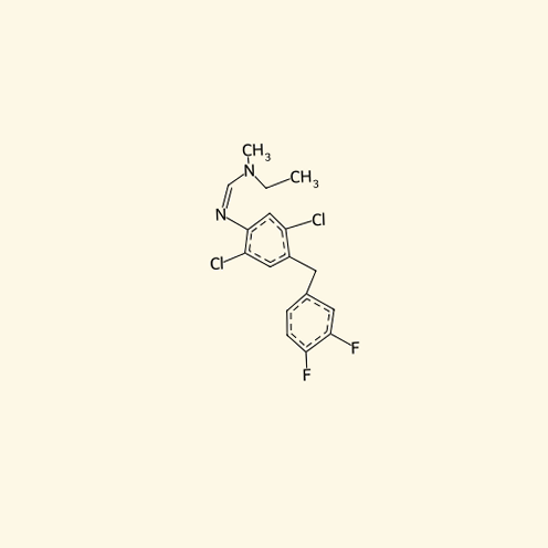 CCN(C)/C=N\c1cc(Cl)c(Cc2ccc(F)c(F)c2)cc1Cl